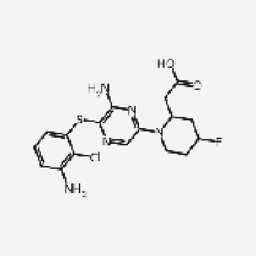 Nc1cccc(Sc2ncc(N3CCC(F)CC3CC(=O)O)nc2N)c1Cl